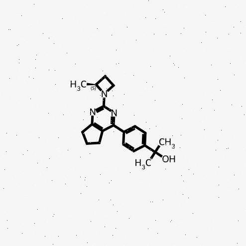 C[C@H]1CCN1c1nc2c(c(-c3ccc(C(C)(C)O)cc3)n1)CCC2